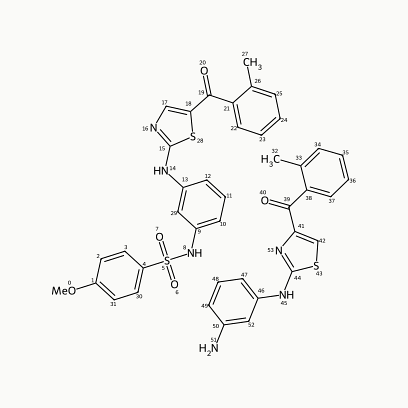 COc1ccc(S(=O)(=O)Nc2cccc(Nc3ncc(C(=O)c4ccccc4C)s3)c2)cc1.Cc1ccccc1C(=O)c1csc(Nc2cccc(N)c2)n1